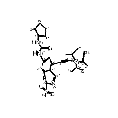 CC(C)[Si](C#Cc1cc(NC(=O)NC2CCCC2)nc2nc(S(C)(=O)=O)ncc12)(C(C)C)C(C)C